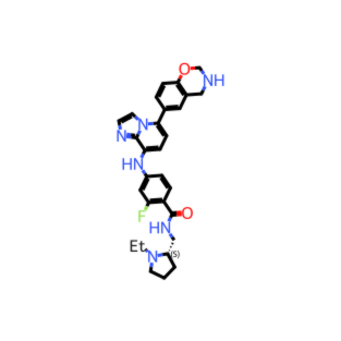 CCN1CCC[C@H]1CNC(=O)c1ccc(Nc2ccc(-c3ccc4c(c3)CNCO4)n3ccnc23)cc1F